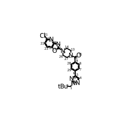 CC(C)(C)Cn1ncc(-c2ccc(C(=O)N3CCN(c4nc5nc(Cl)ccc5o4)CC3)cc2)n1